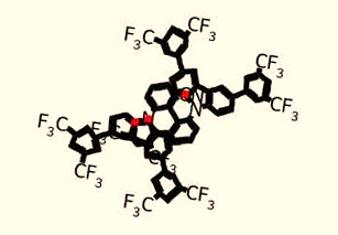 N#Cc1cccc(-n2c3ccc(-c4cc(C(F)(F)F)cc(C(F)(F)F)c4)cc3c3cc(-c4cc(C(F)(F)F)cc(C(F)(F)F)c4)ccc32)c1-c1c(-c2ccc(C(F)(F)F)cc2C(F)(F)F)cccc1-n1c2ccc(-c3cc(C(F)(F)F)cc(C(F)(F)F)c3)cc2c2cc(-c3cc(C(F)(F)F)cc(C(F)(F)F)c3)ccc21